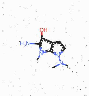 CN(C)n1ccc2c(O)c(N)n(C)c21